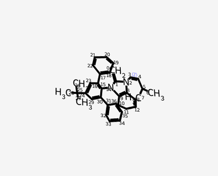 C=C1N(/C=C\C(C)C)C2=C(CCC=C2)N1c1c(-c2ccccc2)cc(C(C)(C)C)cc1-c1ccccc1